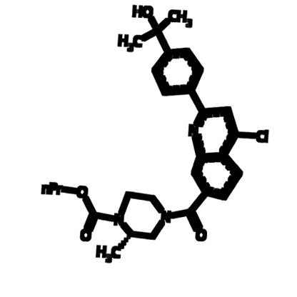 CCCOC(=O)N1CCN(C(=O)c2ccc3c(Cl)cc(-c4ccc(C(C)(C)O)cc4)nc3c2)C[C@@H]1C